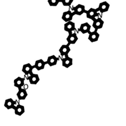 c1ccc(-c2cccc(-n3c4ccccc4c4cc(-c5cc6c7ccccc7n7c8ccc(-c9ccccc9-c9cccc(-n%10c%11ccccc%11c%11cc(-c%12ccc%13c(c%12)c%12ccccc%12n%13-c%12ccc(-c%13ccc(-c%14cccc%15c%14c%14ccccc%14n%15-c%14cccc%15c%14oc%14ccc(-n%16c%17ccccc%17c%17ccccc%17%16)cc%14%15)cc%13)cc%12)ccc%11%10)c9)cc8c(c5)c67)ccc43)c2)cc1